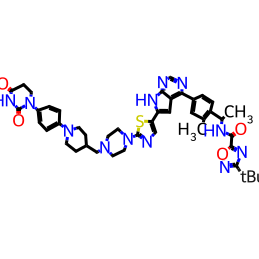 Cc1cc(-c2ncnc3[nH]c(-c4cnc(N5CCN(CC6CCN(c7ccc(N8CCC(=O)NC8=O)cc7)CC6)CC5)s4)cc23)ccc1C(C)NC(=O)c1nc(C(C)(C)C)no1